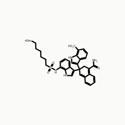 CCCCCCCCCCCCCCCCS(=O)(=O)Nc1cccc2c(C3(c4c[nH]c5c(C(=O)O)cccc45)C=c4ccccc4=C(C(N)=O)C3)c[nH]c12